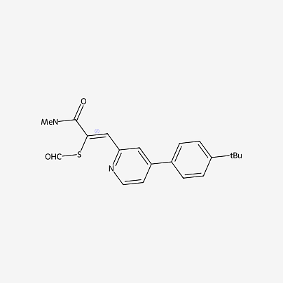 CNC(=O)/C(=C/c1cc(-c2ccc(C(C)(C)C)cc2)ccn1)SC=O